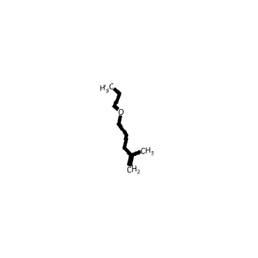 C=C(C)CCCO[CH]CC